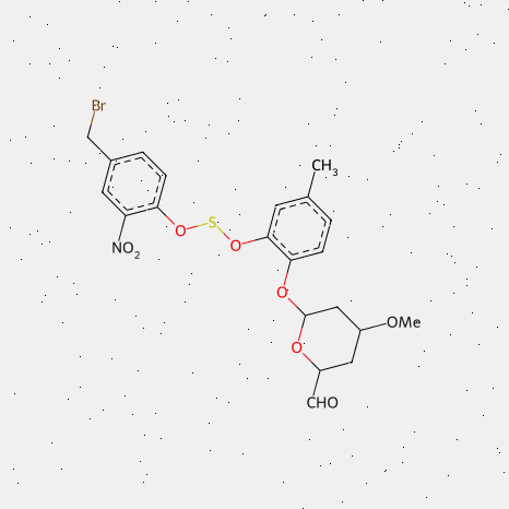 COC1CC(C=O)OC(Oc2ccc(C)cc2OSOc2ccc(CBr)cc2[N+](=O)[O-])C1